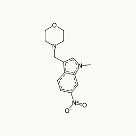 Cn1cc(CN2CCOCC2)c2ccc([N+](=O)[O-])cc21